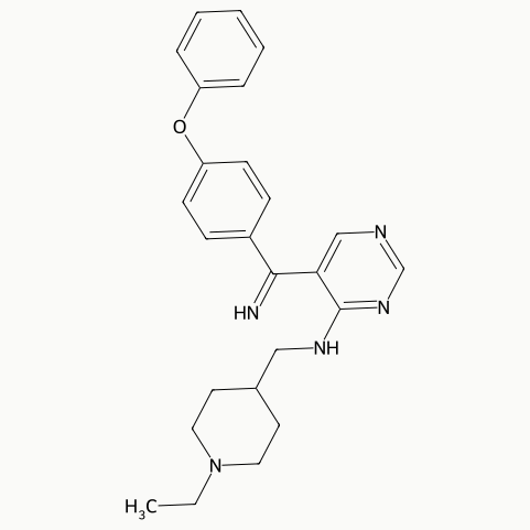 CCN1CCC(CNc2ncncc2C(=N)c2ccc(Oc3ccccc3)cc2)CC1